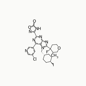 CC1COCCC1(F)c1nc2nc(-c3noc(=O)[nH]3)nc(-c3cncc(Cl)c3)c2n1C[C@H]1CC[C@H](I)CC1